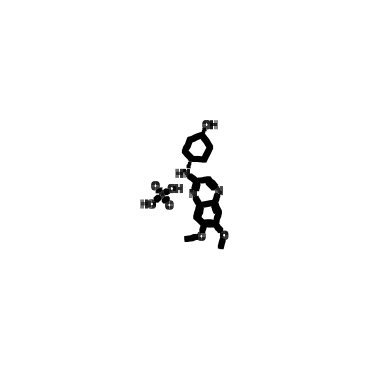 COc1cc2ncc(N[C@H]3CC[C@@H](O)CC3)nc2cc1OC.O=S(=O)(O)O